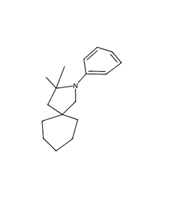 CC1(C)CC2(CCCCC2)CN1c1ccccc1